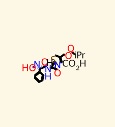 CC(C)C(=O)OCC1=C(C(=O)O)N2C(=O)[C@@H](NC(=O)/C(=N/O)c3ccccc3)[C@H]2SC1